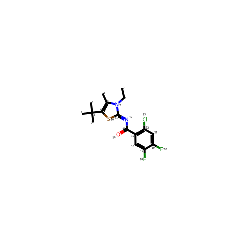 CCn1c(C)c(C(C)(C)C)s/c1=N\C(=O)c1cc(F)c(F)cc1Cl